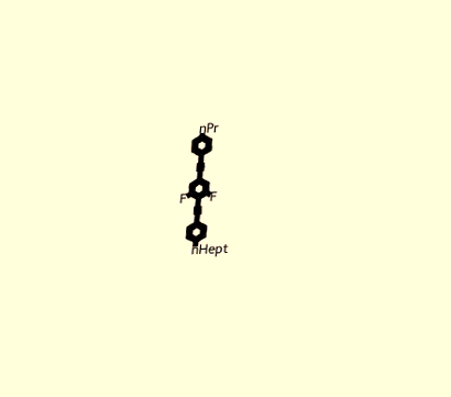 CCCCCCCc1ccc(C#Cc2c(F)cc(C#Cc3ccc(CCC)cc3)cc2F)cc1